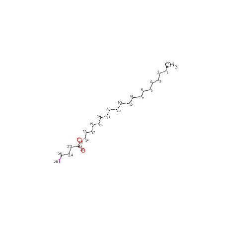 CCCCCCCCCCCCCCCCCCCCOC(=O)CCCI